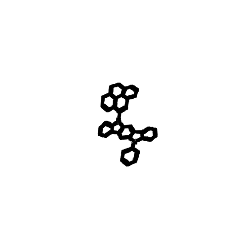 C1=Cc2c(-n3c4ccccc4c4cc5c(cc43)c3ccccc3n5-c3ccccc3)cc3cccc4c3c2C(=CC4)C1